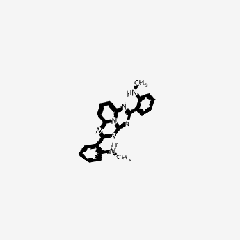 CNc1ccccc1C1=NC2=CC=CC3=NC(c4ccccc4NC)=NC(=N1)N23